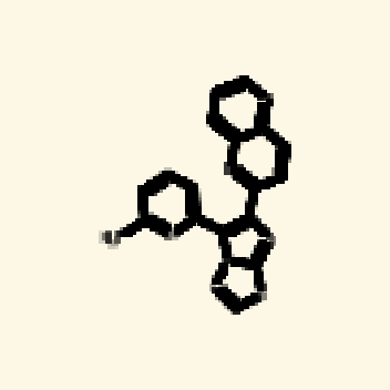 Cc1cccc(-c2c(-c3ccc4ncccc4n3)nc3scnn23)n1